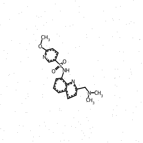 COc1ccc(S(=O)(=O)Nc2cccc3ccc(CN(C)C)nc23)cn1